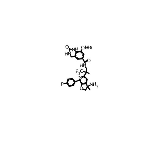 COc1cc(C(=O)NCC(C)(c2cc3c(c(-c4ccc(F)cc4)n2)OCC3(C)N)C(F)(F)F)cc2c1NC(=O)NC2